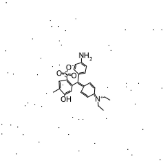 CC[N+](CC)=C1C=CC(=C(c2ccc(N)cc2)c2cc(O)c(C)cc2S(=O)(=O)[O-])C=C1